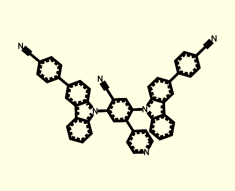 N#Cc1ccc(-c2ccc3c(c2)c2ccccc2n3-c2cc(-c3ccncc3)c(-n3c4ccccc4c4cc(-c5ccc(C#N)cc5)ccc43)cc2C#N)cc1